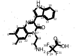 Cc1cc2nc(-c3c[nH]c4ccccc34)c(=O)n(CCN)c2cc1C.O=C(O)C(F)(F)F